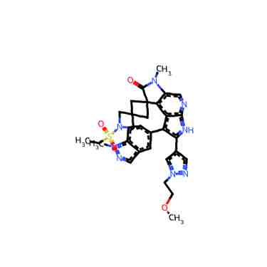 CCS(=O)(=O)N1CC2(C1)CC1(C2)C(=O)N(C)c2cnc3[nH]c(-c4cnn(CCOC)c4)c(-c4ccc5c(cnn5C)c4)c3c21